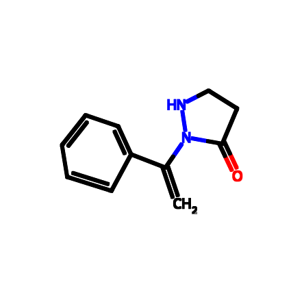 C=C(c1ccccc1)N1NCCC1=O